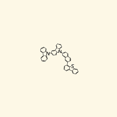 c1ccc2c(c1)sc1c(-c3ccc4ccc(-n5c6ccccc6c6cc(-n7c8ccccc8c8ccccc87)ccc65)cc4c3)cccc12